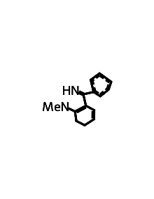 CNC1=C(C(=N)c2ccccc2)C=CCC1